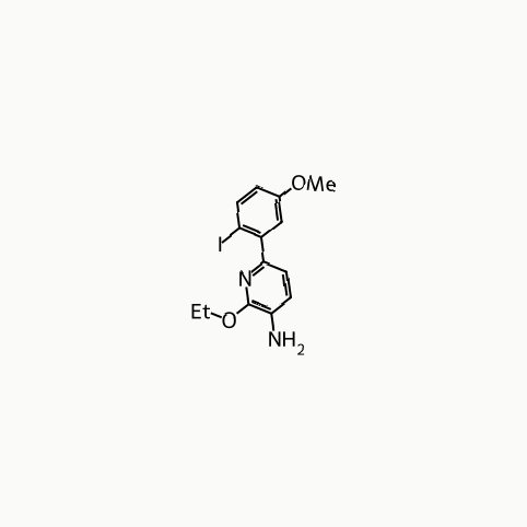 CCOc1nc(-c2cc(OC)ccc2I)ccc1N